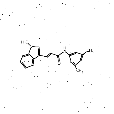 Cc1cc(C)nc(NC(=O)/C=C/c2cn(C)c3ccccc23)c1